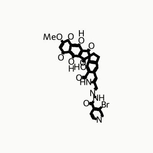 COC1=CC(=O)c2c(O)c3c(c(O)c2C1=O)C(=O)C1(CCc2cc4cc(C=NNC(=O)c5ccncc5Br)[nH]c(=O)c4c(O)c21)C3=O